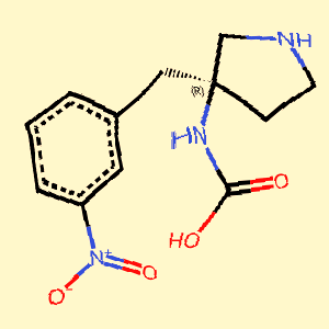 O=C(O)N[C@]1(Cc2cccc([N+](=O)[O-])c2)CCNC1